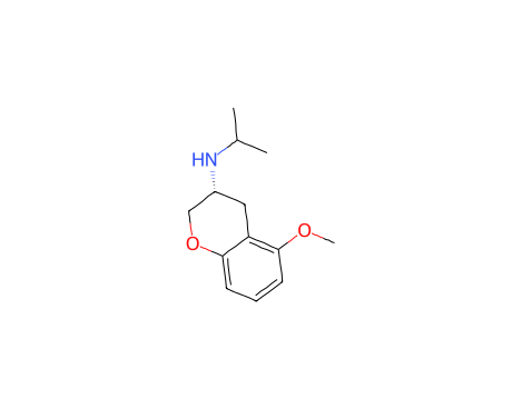 COc1cccc2c1C[C@@H](NC(C)C)CO2